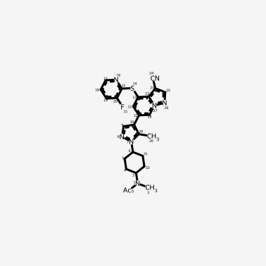 CC(=O)N(C)C1CCC(n2ncc(-c3cc(Sc4ncccc4F)c4c(C#N)cnn4c3)c2C)CC1